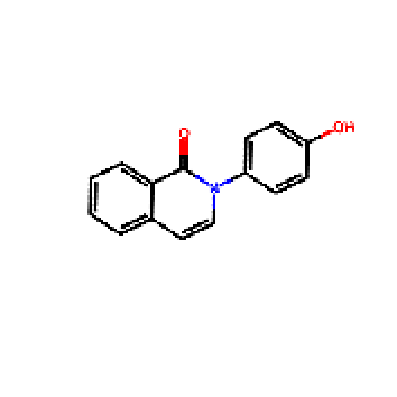 O=c1c2ccccc2ccn1-c1ccc(O)cc1